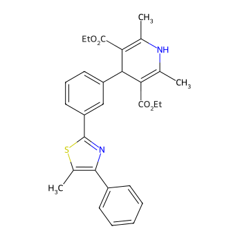 CCOC(=O)C1=C(C)NC(C)=C(C(=O)OCC)C1c1cccc(-c2nc(-c3ccccc3)c(C)s2)c1